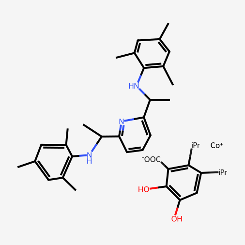 CC(C)c1cc(O)c(O)c(C(=O)[O-])c1C(C)C.Cc1cc(C)c(NC(C)c2cccc(C(C)Nc3c(C)cc(C)cc3C)n2)c(C)c1.[Co+]